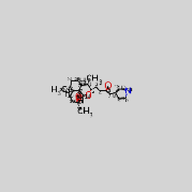 C[C@H]1[C@@H](CCC(=O)Cc2ccncc2)O[C@@H]2O[C@]3(C)CC[C@H]4[C@H](C)CC[C@@H]1[C@@]24OO3